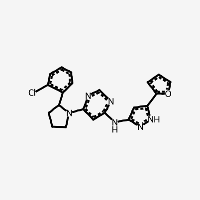 Clc1ccccc1C1CCCN1c1cc(Nc2cc(-c3ccco3)[nH]n2)ncn1